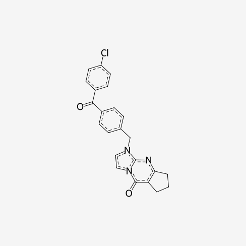 O=C(c1ccc(Cl)cc1)c1ccc(Cn2ccn3c(=O)c4c(nc23)CCC4)cc1